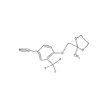 CC1(COc2ccc(C#N)cc2C(F)(F)F)OCCO1